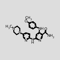 COc1ccc(Nc2cc(Nc3ccc(N4CCN(C)CC4)cn3)ncc2C(N)=O)cc1